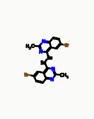 Cc1nc([Se][Se]c2nc(C)nc3ccc(Br)cc23)c2cc(Br)ccc2n1